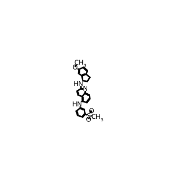 COc1ccc2c(c1)C(Nc1ccc3c(Nc4cccc(S(C)(=O)=O)c4)cccc3n1)CC2